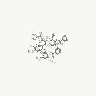 CC[C@@H](OC(=O)[C@H](C)[C@@H](O[C@H]1C[C@@](C)(OC)[C@@H](OC(=O)c2ccccc2)[C@H](C)O1)[C@H](C)[C@@H](O[C@@H]1O[C@H](C)C[C@H](N(C)C)[C@H]1OC(=O)c1ccccc1)[C@@](C)(C[C@@H](C)[C@H](O)C(C)=O)OC)[C@@](C)(O)C=O